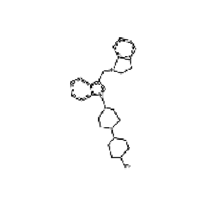 CC(C)C1CCC(N2CCC(n3cc(CN4CCc5ccccc54)c4ccccc43)CC2)CC1